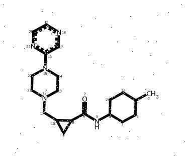 CC1CCC(NC(=O)C2CC2CN2CCN(c3cnccn3)CC2)CC1